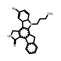 CC(=O)OCCCN1c2c3c(c4c(c2C2C=C(Br)C=CC21)CNC4=O)-c1ccccc1C3